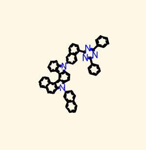 c1ccc(-c2nc(-c3ccccc3)nc(-c3cccc4cc(-n5c6ccccc6c6c7c8c9ccccc9ccc8n(-c8ccc9ccccc9c8)c7ccc65)ccc34)n2)cc1